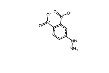 NNc1ccc([N+](=O)[O-])c([N+](=O)[O-])c1